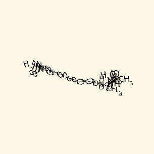 CC[C@@H]1C(=O)N(C)c2cnc(Nc3ccc(C(=O)NCCOCCOCCOCCOCCOCCOCCOC/C=C/C(=O)N4CCC[C@@H](n5nc(-c6ccc(Oc7ccccc7)cc6)c6c(N)ncnc65)C4)cc3OC)nc2N1C1CCCC1